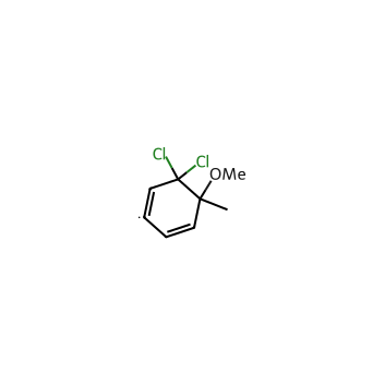 COC1(C)C=C[C]=CC1(Cl)Cl